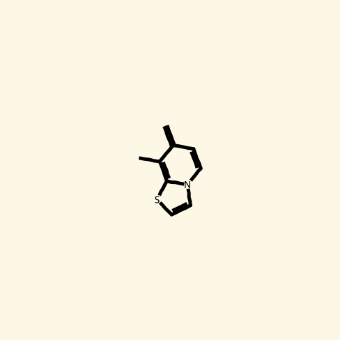 C=C1C=CN2C=CSC2=C1C